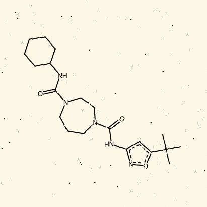 CC(C)(C)c1cc(NC(=O)N2CCCN(C(=O)NC3CCCCC3)CC2)no1